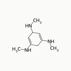 CNC1=CC(NC)C=C(NC)C1